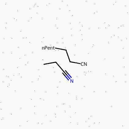 CCC#N.CCCCCCCC#N